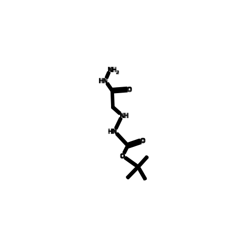 CC(C)(C)OC(=O)NNCC(=O)NN